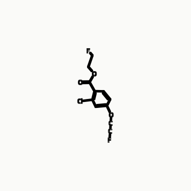 O=C(OCCF)c1ccc(OCCF)cc1Cl